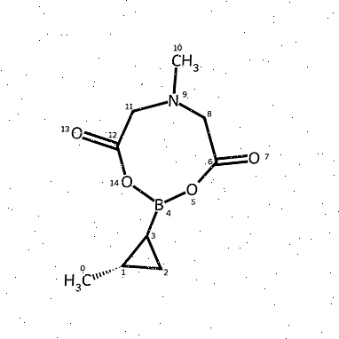 C[C@H]1CC1B1OC(=O)CN(C)CC(=O)O1